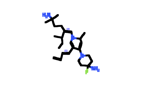 C=C/C=C/C1=CN(/C=C(/CCC(C)(C)N)C(C)CC)C(C)C=C1N1CCC(N)(F)CC1